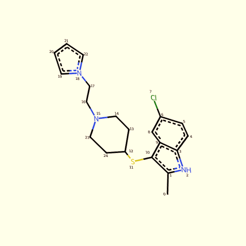 Cc1[nH]c2ccc(Cl)cc2c1SC1CCN(CCn2cccc2)CC1